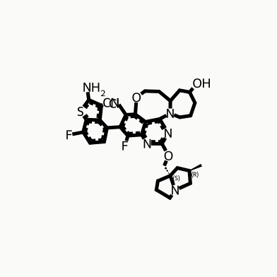 C[C@H]1CN2CCC[C@@]2(COc2nc3c4c(c(Cl)c(-c5ccc(F)c6sc(N)c(C#N)c56)c(F)c4n2)OCCC2CC(O)CCCN32)C1